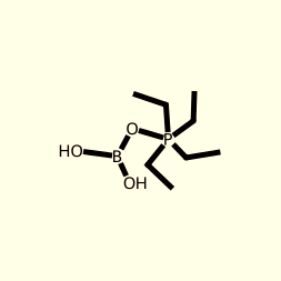 CCP(CC)(CC)(CC)OB(O)O